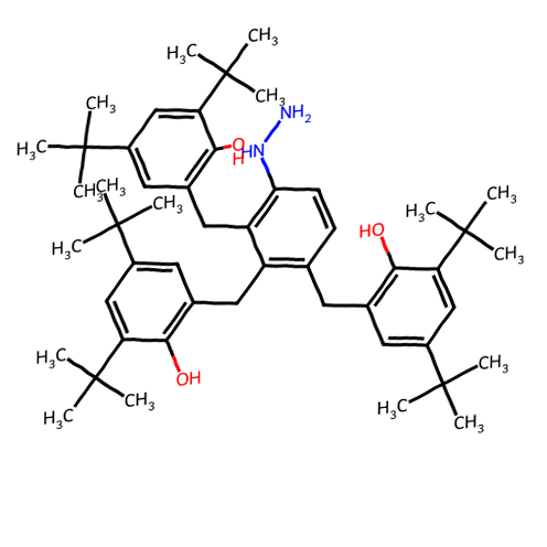 CC(C)(C)c1cc(Cc2ccc(NN)c(Cc3cc(C(C)(C)C)cc(C(C)(C)C)c3O)c2Cc2cc(C(C)(C)C)cc(C(C)(C)C)c2O)c(O)c(C(C)(C)C)c1